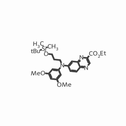 CCOC(=O)c1cnc2ccc(N(CCCO[Si](C)(C)C(C)(C)C)c3cc(OC)cc(OC)c3)cc2n1